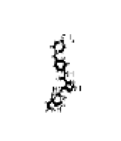 CN1CCN(Cc2ccc(NC(=O)c3n[nH]cc3Nc3ncc4[nH]ccc4n3)cc2)CC1